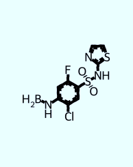 BNc1cc(F)c(S(=O)(=O)Nc2nccs2)cc1Cl